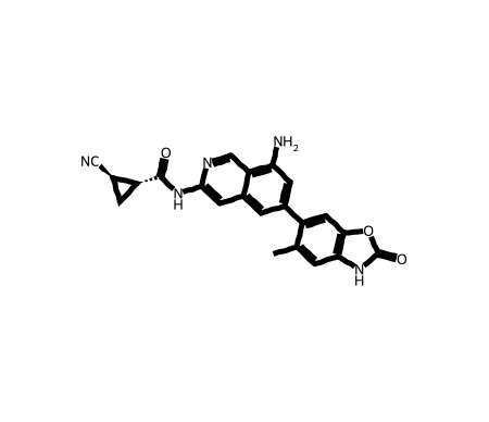 Cc1cc2[nH]c(=O)oc2cc1-c1cc(N)c2cnc(NC(=O)[C@@H]3C[C@H]3C#N)cc2c1